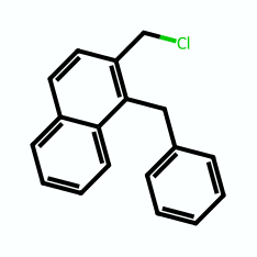 ClCc1ccc2ccccc2c1Cc1ccccc1